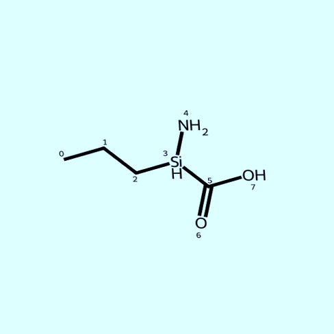 CCC[SiH](N)C(=O)O